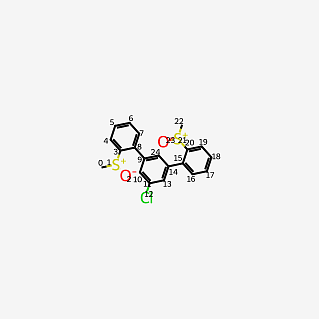 C[S+]([O-])c1ccccc1-c1cc(Cl)cc(-c2ccccc2[S+](C)[O-])c1